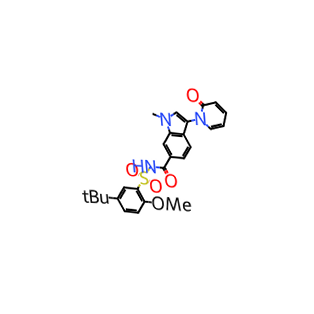 COc1ccc(C(C)(C)C)cc1S(=O)(=O)NC(=O)c1ccc2c(-n3ccccc3=O)cn(C)c2c1